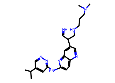 CC(C)c1cnnc(Nc2ccc3ncc(C(C=N)CNCCCN(C)C)cc3n2)c1